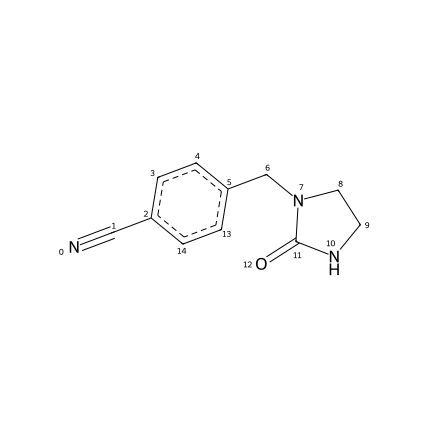 N#Cc1ccc(CN2CCNC2=O)cc1